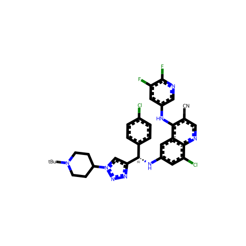 CC(C)(C)N1CCC(n2cc([C@@H](Nc3cc(Cl)c4ncc(C#N)c(Nc5cnc(F)c(F)c5)c4c3)c3ccc(Cl)cc3)nn2)CC1